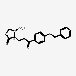 O=C(CC[C@H]1C(=O)OCN1C(=O)O)c1ccc(OCc2ccccc2)cc1